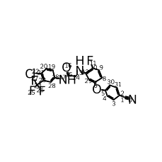 N#Cc1ccc(Oc2ccc(F)c(NCC(=O)Nc3ccc(Cl)c(C(F)(F)F)c3)c2)cc1